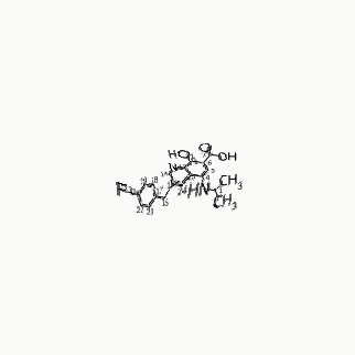 CC(C)Nc1cc(C(=O)O)c(O)c2ncc(Cc3ccc(F)cc3)cc12